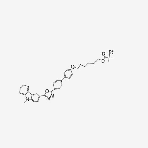 CCC(C)(C)C(=O)OCCCCCCOc1ccc(-c2ccc(-c3nnc(-c4ccc5c(c4)c4ccccc4n5C)o3)cc2)cc1